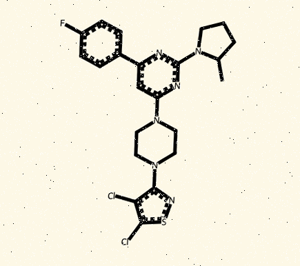 CC1CCCN1c1nc(-c2ccc(F)cc2)cc(N2CCN(c3nsc(Cl)c3Cl)CC2)n1